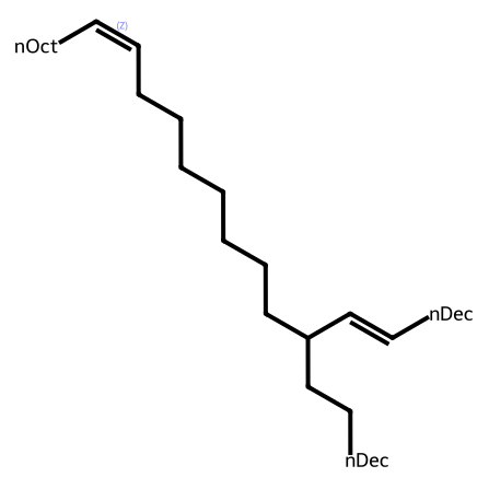 CCCCCCCC/C=C\CCCCCCCC(C=CCCCCCCCCCC)CCCCCCCCCCCC